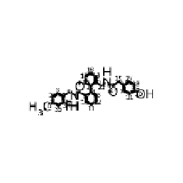 Cc1ccc(CNC(=O)c2ccccc2-c2ccccc2CNC(=O)Cc2ccc(O)cc2)c(F)c1